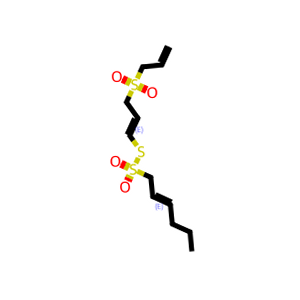 C=CCS(=O)(=O)C/C=C/SS(=O)(=O)C/C=C/CCC